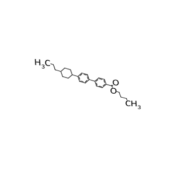 CCCCOC(=O)c1ccc(-c2ccc(C3CCC(CCC)CC3)cc2)cc1